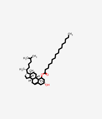 CCCCCCCCCCCCCCCC(=O)OC1C[C@H](O)CC2=CC[C@H]3[C@@H]4CC[C@H]([C@H](C)CCCC(C)C)[C@@]4(C)CC[C@@H]3[C@]21C